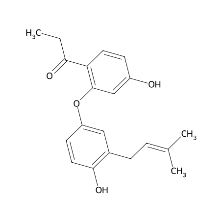 CCC(=O)c1ccc(O)cc1Oc1ccc(O)c(CC=C(C)C)c1